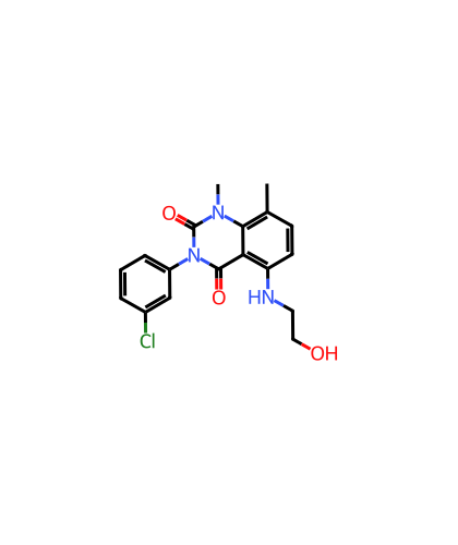 Cc1ccc(NCCO)c2c(=O)n(-c3cccc(Cl)c3)c(=O)n(C)c12